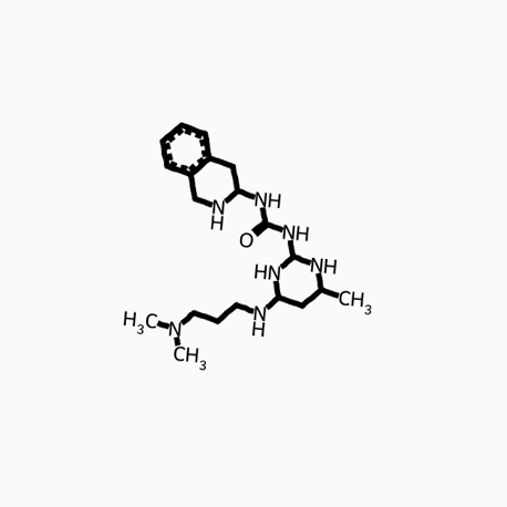 CC1CC(NCCCN(C)C)NC(NC(=O)NC2Cc3ccccc3CN2)N1